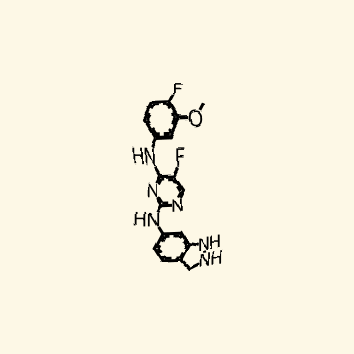 COc1cc(Nc2nc(Nc3ccc4c(c3)NNC4)ncc2F)ccc1F